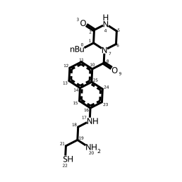 CCCCC1C(=O)NCCN1C(=O)c1cccc2cc(NCC(N)CS)ccc12